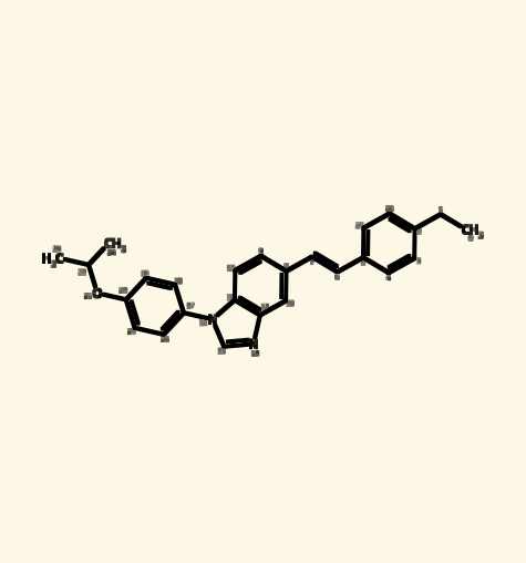 CCc1ccc(C=Cc2ccc3c(c2)ncn3-c2ccc(OC(C)C)cc2)cc1